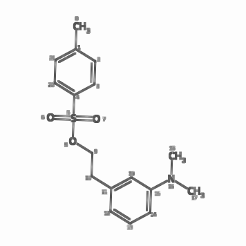 Cc1ccc(S(=O)(=O)OCCc2cccc(N(C)C)c2)cc1